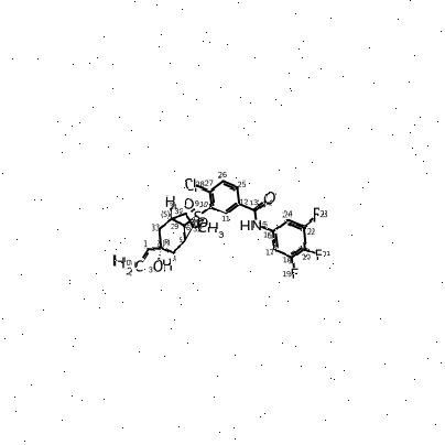 C=C[C@]1(O)CC2C(S(=O)(=O)c3cc(C(=O)Nc4cc(F)c(F)c(F)c4)ccc3Cl)[C@@H](C[C@@H]2C)C1